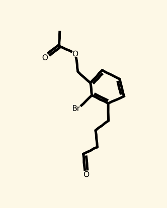 CC(=O)OCc1cccc(CCCC=O)c1Br